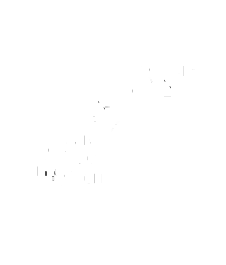 CC(C)NC(=O)COc1ccc(B2OC(C)(C)C(C)(C)O2)cn1